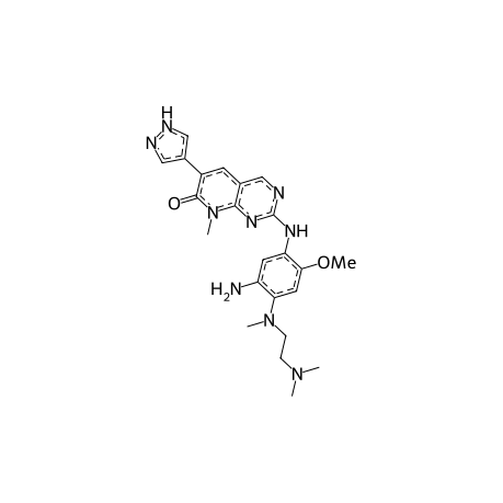 COc1cc(N(C)CCN(C)C)c(N)cc1Nc1ncc2cc(-c3cn[nH]c3)c(=O)n(C)c2n1